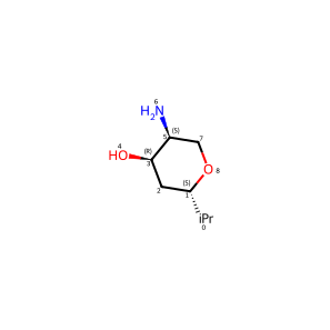 CC(C)[C@@H]1C[C@@H](O)[C@@H](N)CO1